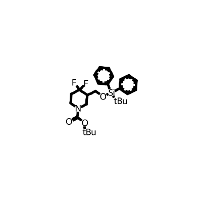 CC(C)(C)OC(=O)N1CCC(F)(F)C(CO[Si](c2ccccc2)(c2ccccc2)C(C)(C)C)C1